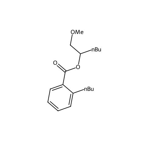 CCCCc1ccccc1C(=O)OC(CCCC)COC